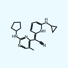 Cc1cnc(NC2CCCC2)nc1/C(C#N)=C1\C=CC=C(NC2CC2)N1